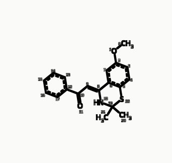 COc1ccc2c(c1)/C(=C/C(=O)c1ccccc1)NC(C)(C)S2